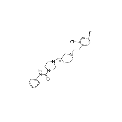 O=C(Nc1ccccc1)N1CCN(C[C@@H]2CCCN(CCc3ccc(F)cc3Cl)C2)CC1